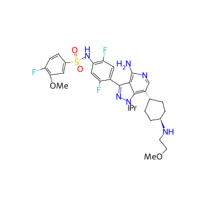 COCCN[C@H]1CC[C@H](c2cnc(N)c3c(-c4cc(F)c(NS(=O)(=O)c5ccc(F)c(OC)c5)cc4F)nn(C(C)C)c32)CC1